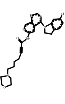 O=C(C#CCCCCN1CCOCC1)Nc1cc2c(N3CCc4ccc(Cl)cc43)ncnc2cn1